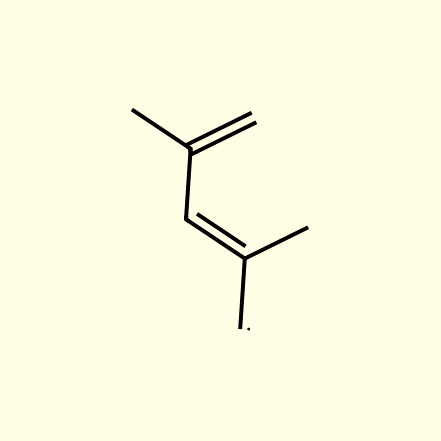 [CH2]/C(C)=C/C(=C)C